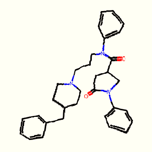 O=C1CC(C(=O)N(CCCN2CCC(Cc3ccccc3)CC2)c2ccccc2)CN1c1ccccc1